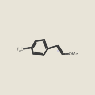 CO/C=C/c1ccc(C(F)(F)F)cc1